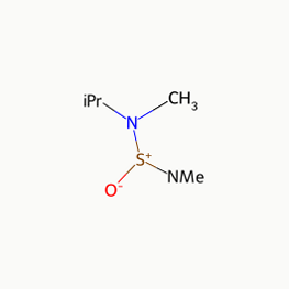 CN[S+]([O-])N(C)C(C)C